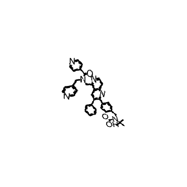 CC(C)(C)N(Cc1ccc(-c2nc3ccnc(CN(Cc4ccncc4)C(=O)c4ccncc4)c3cc2-c2ccccc2)cc1)C(=O)O